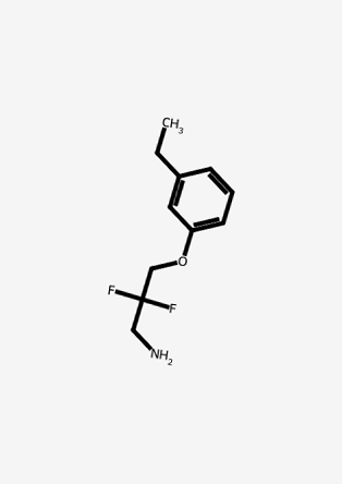 CCc1cccc(OCC(F)(F)CN)c1